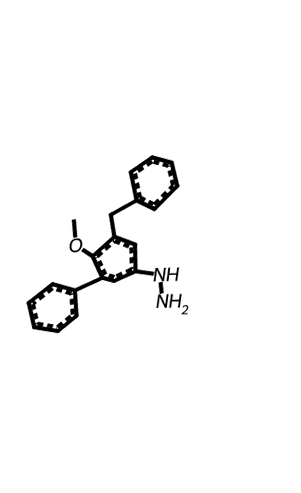 COc1c(Cc2ccccc2)cc(NN)cc1-c1ccccc1